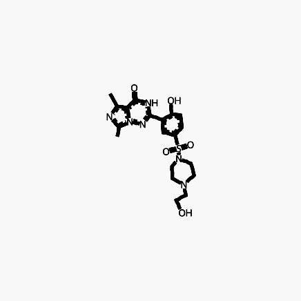 Cc1nc(C)n2nc(-c3cc(S(=O)(=O)N4CCN(CCO)CC4)ccc3O)[nH]c(=O)c12